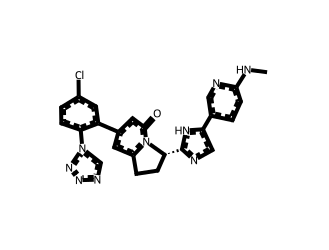 CNc1ccc(-c2cnc([C@@H]3CCc4cc(-c5cc(Cl)ccc5-n5cnnn5)cc(=O)n43)[nH]2)cn1